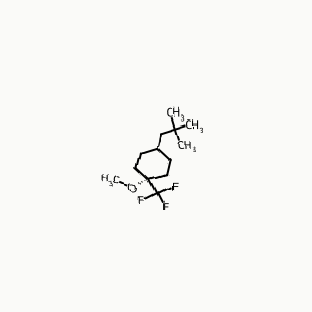 CO[C@]1(C(F)(F)F)CC[C@@H](CC(C)(C)C)CC1